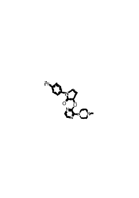 CC(C)c1ccc(N2CCC(Oc3nccnc3N3CCN(C)CC3)C2=O)cc1